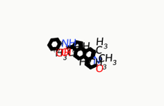 CC1=C2N(C)C(=O)CC[C@]2(C)[C@@H]2CC[C@]3(C)C(C(=O)N[C@@H]4CCCC[C@@H]4O)CC[C@H]3[C@@H]2C1